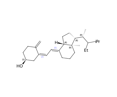 C=C1CC[C@H](O)C/C1=C/C=C1\CCC[C@]2(C)[C@@H]([C@H](C)C(CC)C(C)C)CC[C@@H]12